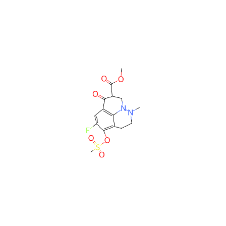 COC(=O)C1CN2c3c(cc(F)c(OS(C)(=O)=O)c3CCN2C)C1=O